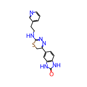 O=c1[nH]c2ccc(C3=NN=C(NCCc4cccnc4)SC3)cc2[nH]1